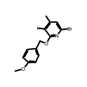 COc1ccc(COc2nc(Br)cc(C)c2I)cc1